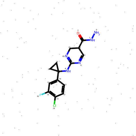 NNC(=O)C1C=NC(NC2(c3ccc(Cl)c(F)c3)CC2)=NC1